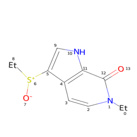 CCn1ccc2c([S+]([O-])CC)c[nH]c2c1=O